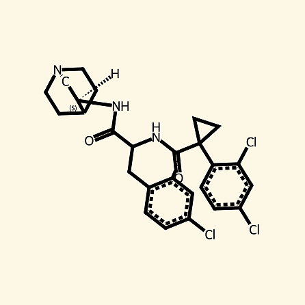 O=C(N[C@@H]1CN2CCC1CC2)C(Cc1ccc(Cl)cc1F)NC(=O)C1(c2ccc(Cl)cc2Cl)CC1